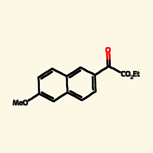 CCOC(=O)C(=O)c1ccc2cc(OC)ccc2c1